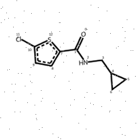 O=C(NCC1CC1)c1ccc(Cl)s1